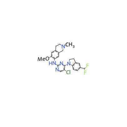 COc1cc2c(cc1Nc1ncc(Cl)c(N3CCc4cc(C(F)F)ccc43)n1)CN(C)CC2